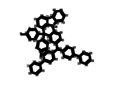 Cc1ccc(C2(c3ccc(C)cc3)c3cc(N(c4ccc(-c5ccccc5)cc4)c4ccc(-c5ccccc5)cc4)ccc3-n3c4ccccc4c4cccc2c43)cc1